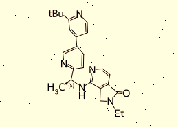 CCN1Cc2c(ccnc2N[C@@H](C)c2ccc(-c3ccnc(C(C)(C)C)c3)cn2)C1=O